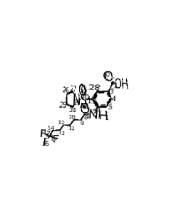 O=C(O)c1ccc(NCCCCCCCC(F)(F)F)c(S(=O)(=O)N2CCCC2)c1